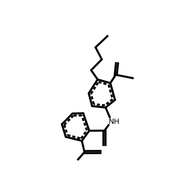 C=C(C)c1cc(NC(=C)c2ccccc2C(=C)C)ccc1CCCC